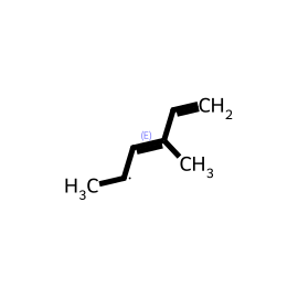 C=C/C(C)=C/[CH]C